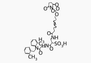 Cc1ccccc1CN(C(=O)CCNC(=O)C(CNC(=O)CCSSCCOC(=O)ON1C(=O)CCC1=O)S(=O)(=O)O)c1ccccc1C